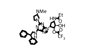 CCC(=O)N[C@H]1C[C@@H](n2cnc3c(NCC(c4ccccc4)c4ccccc4)nc(N4CC[C@@H](NC)C4)nc32)[C@H](OC(=O)C(F)(F)F)[C@@H]1O